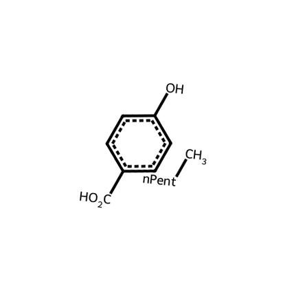 CCCCCC.O=C(O)c1ccc(O)cc1